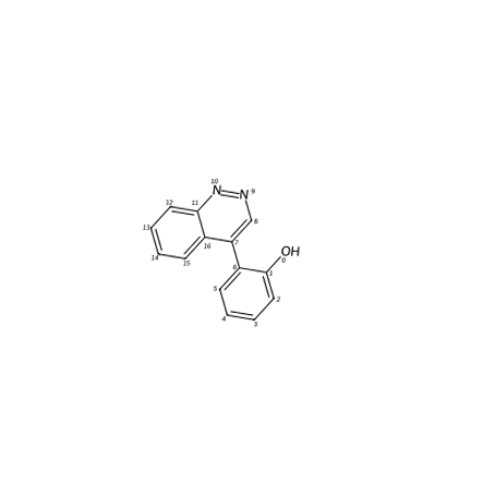 Oc1ccccc1-c1cnnc2ccccc12